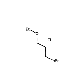 CCCCCCOCC.[Ti]